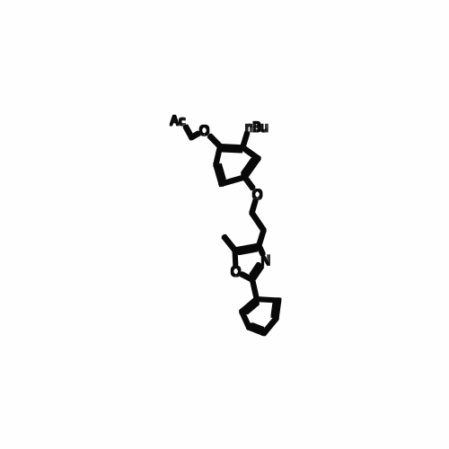 CCCCc1cc(OCCc2nc(-c3ccccc3)oc2C)ccc1OCC(C)=O